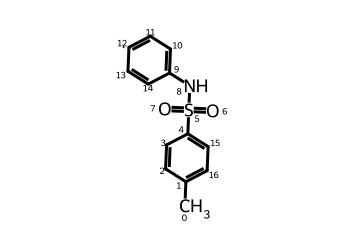 Cc1ccc(S(=O)(=O)Nc2cc[c]cc2)cc1